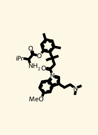 COc1ccc2c(c1)c(CCN(C)C)cn2C(=O)CC(C)(C)c1c(C)cc(C)cc1OC(=O)C(N)C(C)C